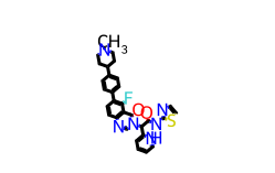 CN1CCC(c2ccc(-c3ccc4ncn(C(C(=O)Nc5nccs5)c5ccccn5)c(=O)c4c3F)cc2)CC1